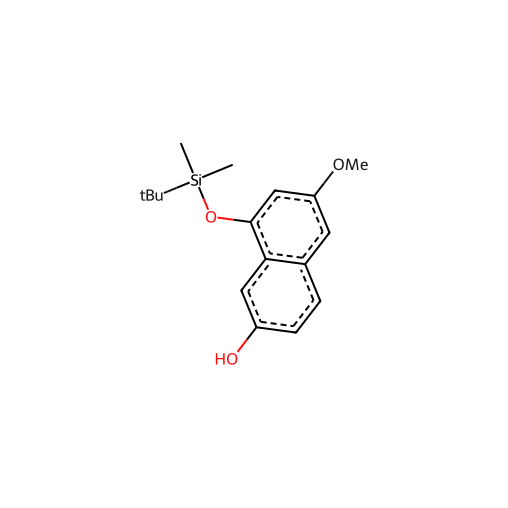 COc1cc(O[Si](C)(C)C(C)(C)C)c2cc(O)ccc2c1